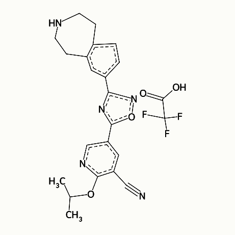 CC(C)Oc1ncc(-c2nc(-c3ccc4c(c3)CCNCC4)no2)cc1C#N.O=C(O)C(F)(F)F